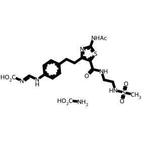 CC(=O)Nc1nc(CCc2ccc(NC=NC(=O)O)cc2)c(C(=O)NCCNS(C)(=O)=O)s1.NC(=O)O